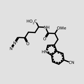 COC(Cc1c[nH]c2ccc(C#N)cc12)C(=O)NC(CCC(=O)C=[N+]=[N-])C(=O)O